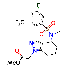 COC(=O)Cn1ncc2c1CCC[C@H]2N(C)S(=O)(=O)c1cc(F)cc(C(F)(F)F)c1